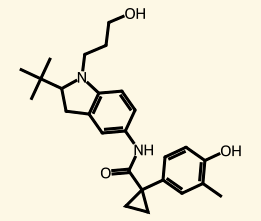 Cc1cc(C2(C(=O)Nc3ccc4c(c3)CC(C(C)(C)C)N4CCCO)CC2)ccc1O